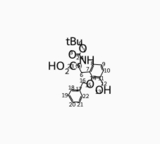 CC(C)(C)OC(=O)N[C@@H](Cc1cccc(CO)c1OCc1ccccc1)C(=O)O